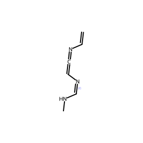 C=CN=C=C/N=C\NC